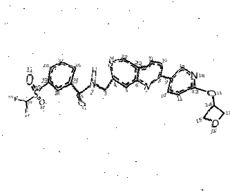 O=C(NCc1cc2nc(-c3ccc(OC4COC4)nc3)ccc2cn1)c1cccc(S(=O)(=O)C(F)F)c1